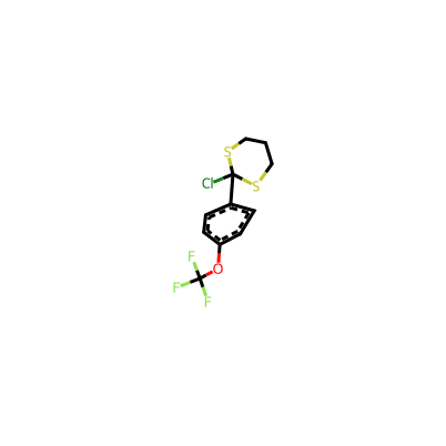 FC(F)(F)Oc1ccc(C2(Cl)SCCCS2)cc1